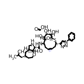 CC(C)C[C@@H]1CCO[C@@H]2[C@H](CN[C@@H]2C(=O)N[C@@H]2C/C=C\C[C@@H](c3cn(-c4ccccc4)nn3)S[C@H]3O[C@H]2[C@H](O)[C@H](O)[C@H]3O)C1.O=CO